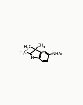 CC(=O)Nc1ccc2c(c1)C(C)(C)C(C)=N2